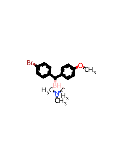 BC(c1ccc(Br)cc1)c1ccc(OC)cc1.CN(C)C